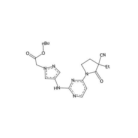 CCCCOC(=O)Cn1cc(Nc2nccc(N3CCC(C#N)(CC)C3=O)n2)cn1